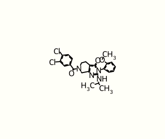 COc1ccccc1-n1c(NC(C)C)nc2c(c1=O)CCN(C(=O)c1ccc(Cl)c(Cl)c1)C2